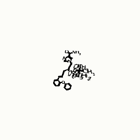 CC(C)(C)[Si](C)(C)O[C@@H](CCCc1ccccc1Oc1ccccc1)Cn1cnc(C(N)=O)c1